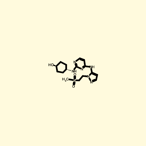 CS(=O)(=O)CCn1nccc1Nc1ccnc(N[C@H]2CC[C@H](O)CC2)n1